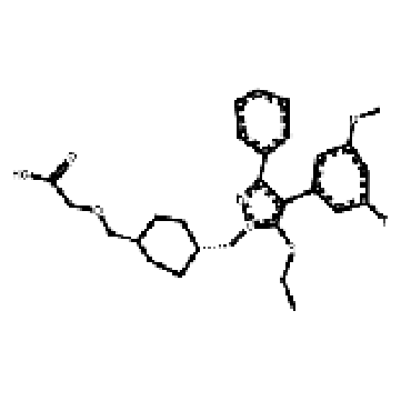 CCSc1c(-c2cc(F)cc(OC)c2)c(-c2ccccc2)nn1C[C@H]1CC[C@H](COCC(=O)O)CC1